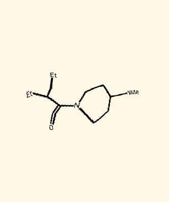 CCC(CC)C(=O)N1CCC(NC)CC1